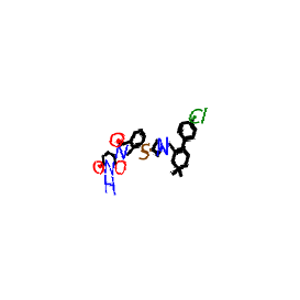 CC1(C)CCC(c2ccc(Cl)cc2)=C(CN2CC(Sc3cccc4c3CN(C3CCC(=O)NC3=O)C4=O)C2)C1